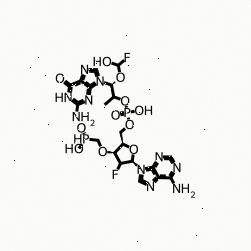 CC(OP(=O)(O)OC[C@H]1O[C@@H](n2cnc3c(N)ncnc32)C(F)[C@H]1OC[PH](=O)O)[C@@H](OC(O)F)n1cnc2c(=O)[nH]c(N)nc21